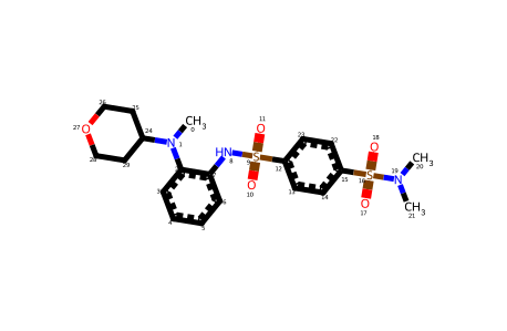 CN(c1ccccc1NS(=O)(=O)c1ccc(S(=O)(=O)N(C)C)cc1)C1CCOCC1